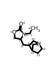 CCN1C(=O)OCC1CC1CN2CCC1C2